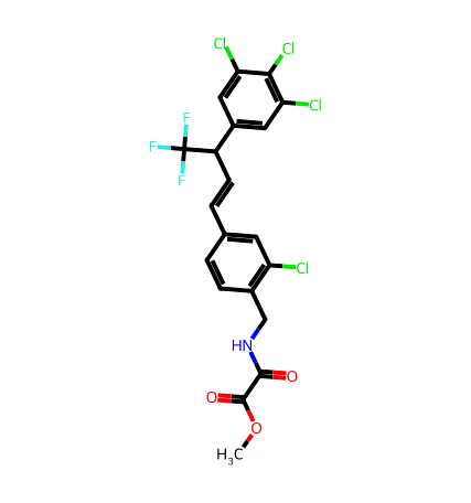 COC(=O)C(=O)NCc1ccc(/C=C/C(c2cc(Cl)c(Cl)c(Cl)c2)C(F)(F)F)cc1Cl